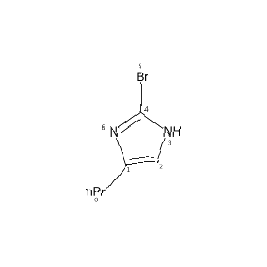 CCCc1c[nH]c(Br)n1